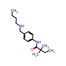 CCCCNCc1ccc(NC(=O)C(C)(C)CC)cc1